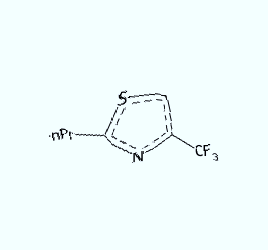 CC[CH]c1nc(C(F)(F)F)cs1